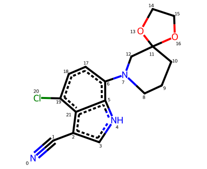 N#Cc1c[nH]c2c(N3CCCC4(C3)OCCO4)ccc(Cl)c12